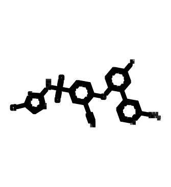 N#Cc1cc(S(=O)(=O)Nc2ncc(Cl)s2)ccc1Oc1ccc(F)cc1-c1ccnc(N)c1